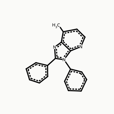 Cc1ccnc2c1nc(-c1ccccc1)n2-c1ccccc1